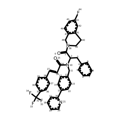 O=C(C(Cc1ccccc1)N(Cc1ccc(-c2ccccn2)cc1)C(=O)C=Cc1ccc(C(F)(F)F)cc1)N1CCc2cc(F)ccc2C1